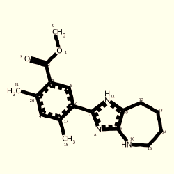 COC(=O)c1cc(-c2nc3c([nH]2)CCCCN3)c(C)cc1C